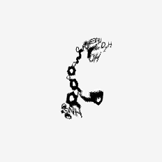 Cc1c(NS(C)(=O)=O)cccc1N(Cc1ccccc1)Cc1ccc(Oc2ccc(OCCCC(=O)N(C(CO)C(=O)O)C(C)(C)C)cc2)cc1